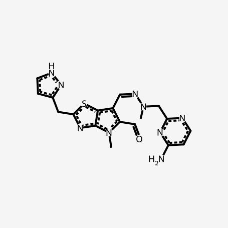 CN(Cc1nccc(N)n1)/N=C\c1c(C=O)n(C)c2nc(Cc3cc[nH]n3)sc12